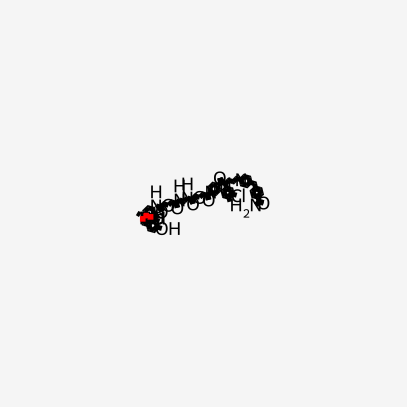 Cc1ccc(N(CCCN2CCC(Cc3ccc(C(N)=O)cc3)CC2)C(=O)C2CCN(C(=O)COCC(=O)NCNC(=O)COCC(=O)N[C@H]3CC[C@@]4(O)C5CC6=CC=C(O)C7O[C@@H]3[C@]4(CCN5C)C67)CC2)cc1Cl